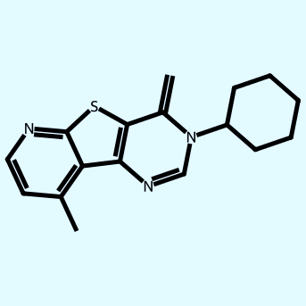 C=C1c2sc3nccc(C)c3c2N=CN1C1CCCCC1